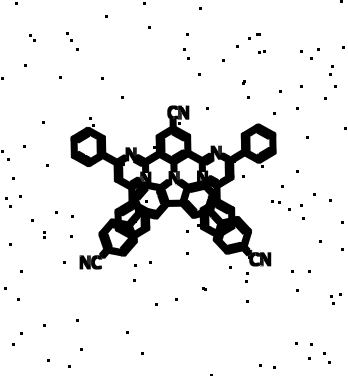 N#Cc1ccc(-c2ccc3c(c2)c2cc(-c4ccc(C#N)cc4)ccc2n3-c2c(-c3nc(-c4ccccc4)cc(-c4ccccc4)n3)cc(C#N)cc2-c2nc(-c3ccccc3)cc(-c3ccccc3)n2)cc1